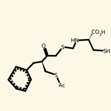 CC(=O)SC[C@@H](Cc1ccccc1)C(=O)CSCN[C@@H](CS)C(=O)O